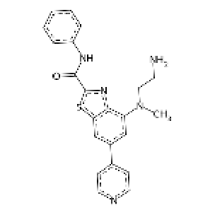 CN(CCN)c1cc(-c2ccncc2)cc2sc(C(=O)Nc3ccccc3)nc12